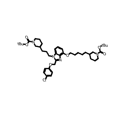 CC(C)(C)OC(=O)N1CCCC(CCCCCOc2cccc3c2nc(COc2ccc(Cl)cc2)n3CCCC2CCCN(C(=O)OC(C)(C)C)C2)C1